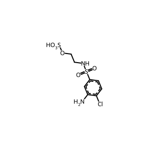 Nc1cc(S(=O)(=O)NCCOS(=O)(=O)O)ccc1Cl